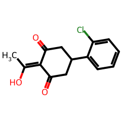 CC(O)=C1C(=O)CC(c2ccccc2Cl)CC1=O